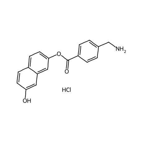 Cl.NCc1ccc(C(=O)Oc2ccc3ccc(O)cc3c2)cc1